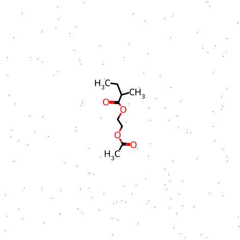 CCC(C)C(=O)OCCOC(C)=O